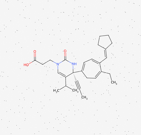 CC#C[C@@]1(C2=CC=C(C=C3CCCC3)C(CC)=CC2)NC(=O)N(CCC(=O)O)C=C1C(C)C